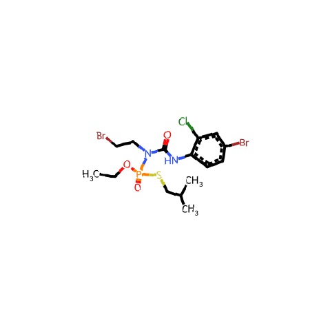 CCOP(=O)(SCC(C)C)N(CCBr)C(=O)Nc1ccc(Br)cc1Cl